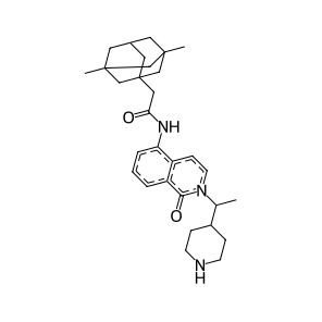 CC(C1CCNCC1)n1ccc2c(NC(=O)CC34CC5CC(C)(CC(C)(C5)C3)C4)cccc2c1=O